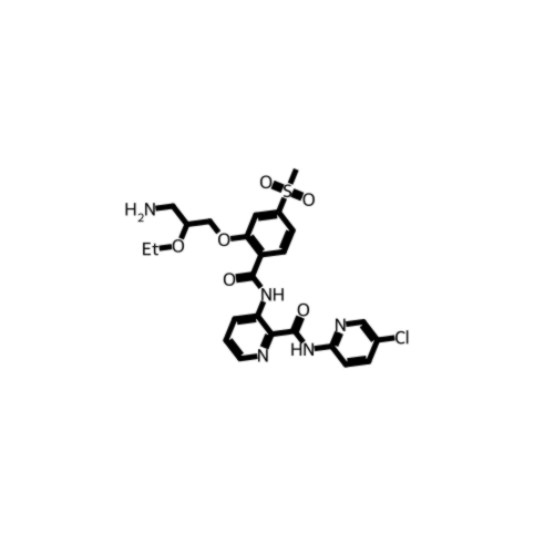 CCOC(CN)COc1cc(S(C)(=O)=O)ccc1C(=O)Nc1cccnc1C(=O)Nc1ccc(Cl)cn1